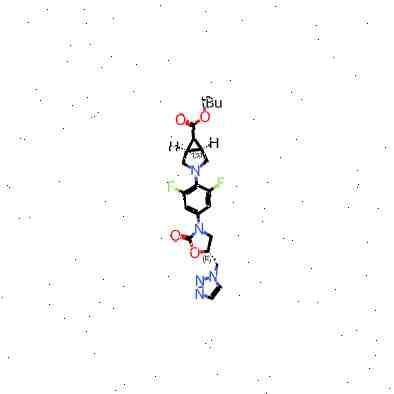 CC(C)(C)OC(=O)C1[C@H]2CN(c3c(F)cc(N4C[C@H](Cn5ccnn5)OC4=O)cc3F)C[C@@H]12